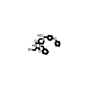 CC(C)CC1NC(=O)C2(CCN(Cc3ccc(Oc4ccccc4)cc3)CC2)N(Cc2ccccc2)C1=O.Cl